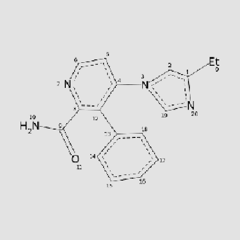 CCc1cn(-c2ccnc(C(N)=O)c2-c2ccccc2)cn1